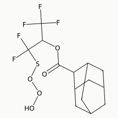 O=C(OC(C(F)(F)F)C(F)(F)SOOO)C1C2CC3CC(C2)CC1C3